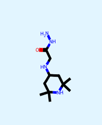 CC1(C)CC(NCC(=O)NN)CC(C)(C)N1